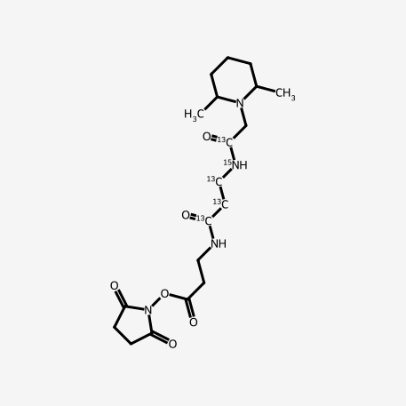 CC1CCCC(C)N1C[13C](=O)[15NH][13CH2][13CH2][13C](=O)NCCC(=O)ON1C(=O)CCC1=O